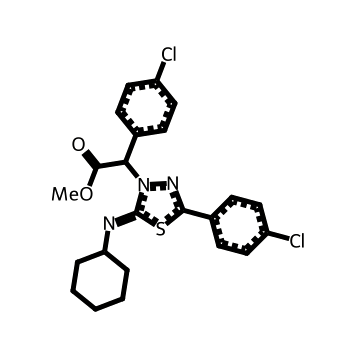 COC(=O)C(c1ccc(Cl)cc1)n1nc(-c2ccc(Cl)cc2)s/c1=N\C1CCCCC1